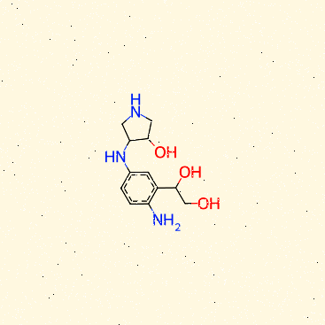 Nc1ccc(NC2CNCC2O)cc1C(O)CO